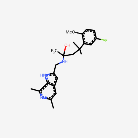 COc1ccc(F)cc1C(C)(C)CC(O)(NCc1cc2cc(C)nc(C)c2[nH]1)C(F)(F)F